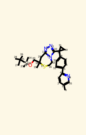 Cc1ccc(-c2ccc(C3(c4nnc5n4CCSC(C)(CO[Si](C)(C)C(C)(C)C)C5)CC3)cc2)nc1